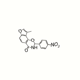 Cc1coc2ccc3c(c12)OC(c1ccc([N+](=O)[O-])cc1)NC3=O